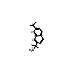 CC(C)c1ccc2ccc(C(C)(C)N)cc2n1